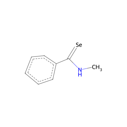 CNC(=[Se])c1ccccc1